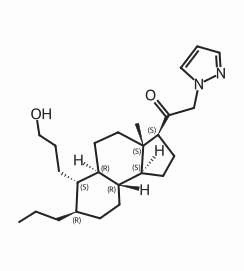 CCC[C@@H]1CC[C@@H]2[C@H](CC[C@]3(C)[C@@H](C(=O)Cn4cccn4)CC[C@@H]23)[C@H]1CCCO